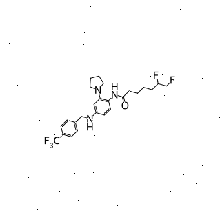 O=C(CCCC[C@@H](F)CF)Nc1ccc(NCc2ccc(C(F)(F)F)cc2)cc1N1CCCC1